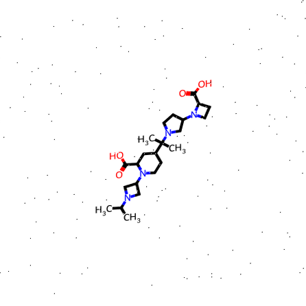 CC(C)N1CC(N2CCC(C(C)(C)N3CCC(N4CCC4C(=O)O)C3)CC2C(=O)O)C1